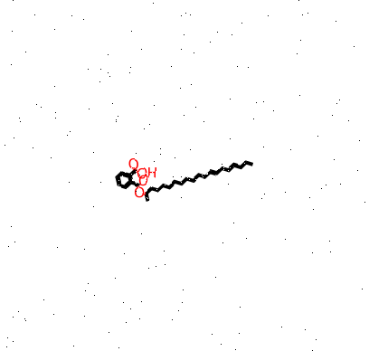 CCCCCCCCCCCCCCCCCCC(C)OC(=O)c1ccccc1C(=O)O